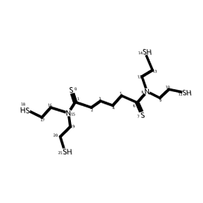 S=C(CCCCC(=S)N(CCS)CCS)N(CCS)CCS